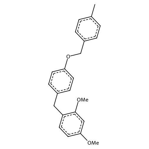 COc1ccc(Cc2ccc(OCc3ccc(C)cc3)cc2)c(OC)c1